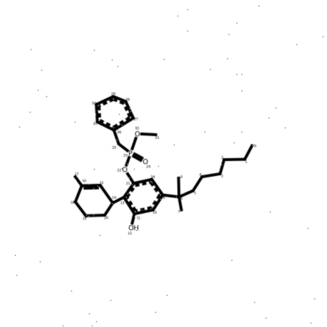 CCCCCCC(C)(C)c1cc(O)c(C2C=C(C)CCC2)c(OP(=O)(Cc2ccccc2)OC)c1